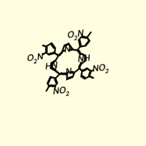 Cc1ccc(-c2c3nc(c(-c4ccc(C)c([N+](=O)[O-])c4)c4ccc([nH]4)c(-c4ccc(C)c([N+](=O)[O-])c4)c4nc(c(-c5ccc(C)c([N+](=O)[O-])c5)c5ccc2[nH]5)C=C4)C=C3)cc1[N+](=O)[O-]